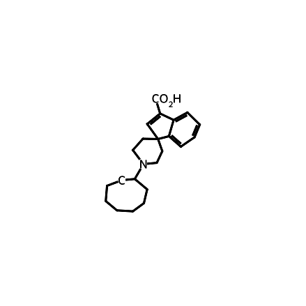 O=C(O)C1=CC2(CCN(C3CCCCCCC3)CC2)c2ccccc21